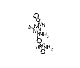 Nc1ccccc1NC(=O)c1ccc(CN(N)c2nc(NC3Cc4ccccc4C3)nc(C3CC3)n2)cc1